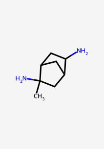 CC1(N)CC2CC1CC2N